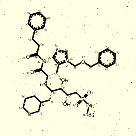 CCCCNS(=O)(=O)C[C@H](O)[C@@H](O)[C@H](CC1CCCCC1)N[C@@H](Cc1cncn1COCc1ccccc1)C(=O)NC(=O)CCc1ccccc1